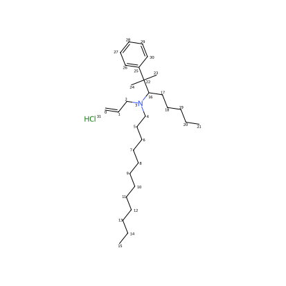 C=CCN(CCCCCCCCCCCC)C(CCCCC)C(C)(C)c1ccccc1.Cl